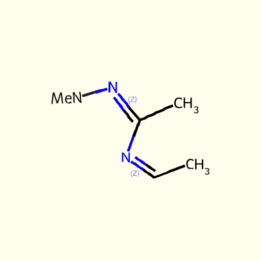 C/C=N\C(C)=N/NC